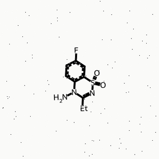 CCC1=NS(=O)(=O)c2cc(F)ccc2N1N